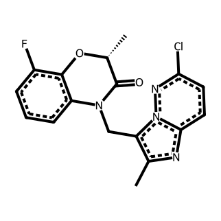 Cc1nc2ccc(Cl)nn2c1CN1C(=O)[C@@H](C)Oc2c(F)cccc21